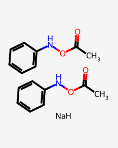 CC(=O)ONc1ccccc1.CC(=O)ONc1ccccc1.[NaH]